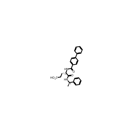 C[C@@H](NC(=O)[C@H](CCC(=O)O)NC(=O)c1ccc(-c2ccccc2)cc1)c1ccccc1